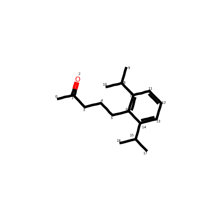 CC(=O)CCCc1c(C(C)C)cccc1C(C)C